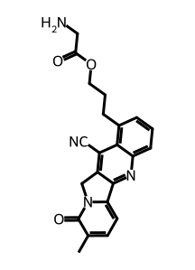 Cc1ccc2n(c1=O)Cc1c-2nc2cccc(CCCOC(=O)CN)c2c1C#N